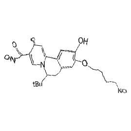 CC(C)(C)C1Cc2cc(OCCCCN=O)c(O)cc2-c2cc(=O)c(C(=O)N=O)cn21